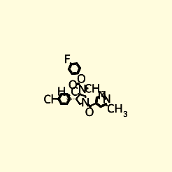 Cc1cc(C(=O)N2C[C@H](c3ccc(Cl)cc3)[C@@](C)(N(C)C(=O)Oc3ccc(F)cc3)C2)cnn1